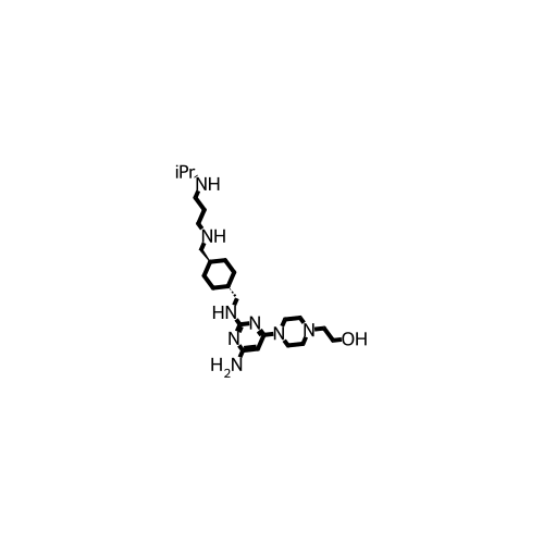 CC(C)NCCCNC[C@H]1CC[C@H](CNc2nc(N)cc(N3CCN(CCO)CC3)n2)CC1